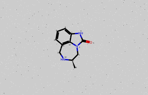 C[C@@H]1Cn2c(=O)[nH]c3cccc(c32)CN1